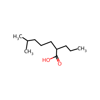 CCCC(CCCC(C)C)C(=O)O